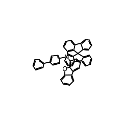 c1ccc(-c2ccc(N(c3cccc4c3C3(c5ccccc5-c5ccccc53)c3ccccc3-4)c3cccc4c3oc3ccccc34)cc2)cc1